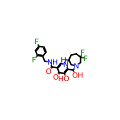 O=C(NCc1ccc(F)cc1F)c1cn2c(c(O)c1=O)C(O)N1C[C@H]2CCC(F)(F)C1